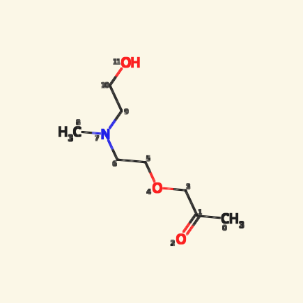 CC(=O)COCCN(C)CCO